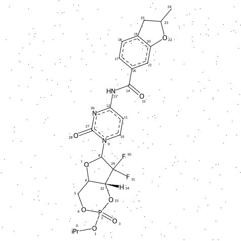 CC(C)OP1(=O)OCC2OC(n3ccc(NC(=O)c4ccc5c(c4)OC(C)C5)nc3=O)C(F)(F)[C@@H]2O1